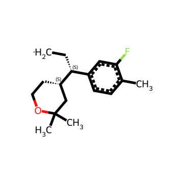 [CH2]C[C@H](c1ccc(C)c(F)c1)[C@H]1CCOC(C)(C)C1